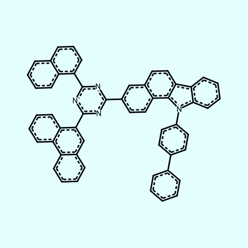 c1ccc(-c2ccc(-n3c4ccccc4c4ccc5cc(-c6nc(-c7cccc8ccccc78)nc(-c7cc8ccccc8c8ccccc78)n6)ccc5c43)cc2)cc1